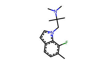 Cc1ccc2ccn(CC(C)(C)N(C)C)c2c1F